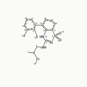 COC(C)CNC1=NS(=O)(=O)c2cccc(-c3cccc(F)c3F)c2N1